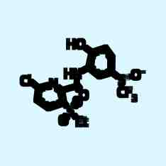 CCS(=O)(=O)c1ccc(Cl)nc1C(=O)Nc1cc([S+]([O-])C(F)(F)F)ccc1O